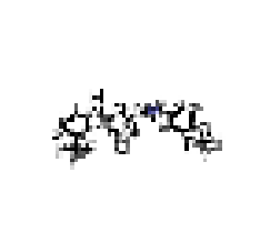 Fc1ccc(Nc2cc(Cl)nc(N/N=C/c3ccc(OC(F)(F)F)cc3)n2)cc1C(F)(F)F